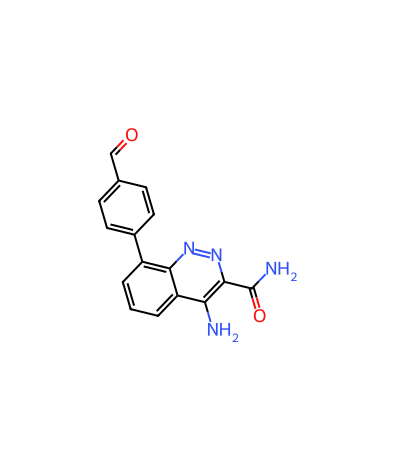 NC(=O)c1nnc2c(-c3ccc(C=O)cc3)cccc2c1N